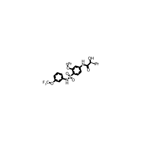 CCCOc1cc(NC(=O)[C@@H](O)C(C)C)ccc1S(=O)(=O)Nc1cccc(OC(F)(F)F)c1